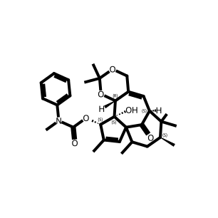 CC1=CC23C(=O)[C@@H](C=C4COC(C)(C)O[C@H]4[C@]2(O)[C@H]1OC(=O)N(C)c1ccccc1)C(C)(C)[C@@H](C)CC3C